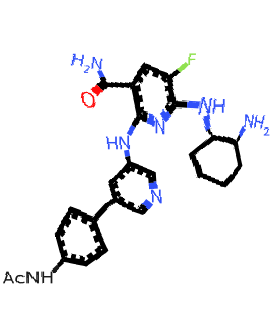 CC(=O)Nc1ccc(-c2cncc(Nc3nc(N[C@@H]4CCCC[C@@H]4N)c(F)cc3C(N)=O)c2)cc1